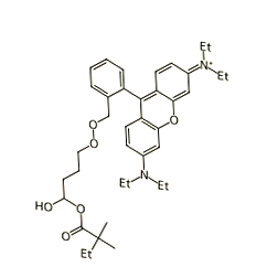 CCN(CC)c1ccc2c(-c3ccccc3COOCCCC(O)OC(=O)C(C)(C)CC)c3ccc(=[N+](CC)CC)cc-3oc2c1